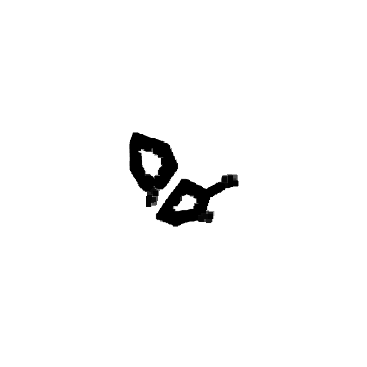 N#Cc1ccc[nH]1.c1cc[nH]c1